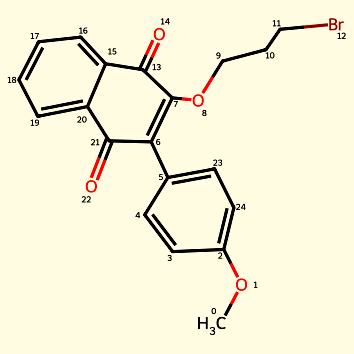 COc1ccc(C2=C(OCCCBr)C(=O)c3ccccc3C2=O)cc1